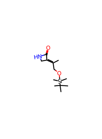 C/C(CO[Si](C)(C)C(C)(C)C)=C1/CNC1=O